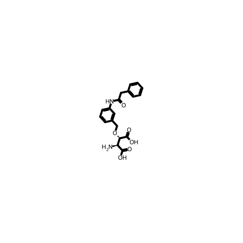 N[C@H](C(=O)O)[C@H](OCc1cccc(NC(=O)Cc2ccccc2)c1)C(=O)O